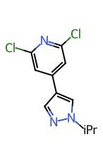 CC(C)n1cc(-c2cc(Cl)nc(Cl)c2)cn1